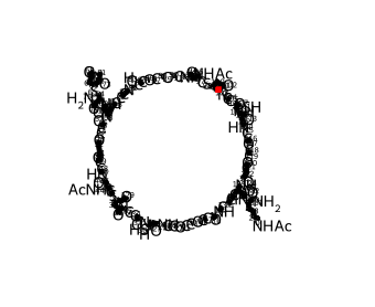 CC(=O)NCCCCC(NC(=O)C1CCCCNC(=O)CCOCCOCCNC(=O)C(CS)NC(=O)CCN2C(=O)CC(SCC(NC(C)=O)C(=O)NCCOCCOCCC(=O)NC(C(=O)NC(CSC3CC(=O)N(C)C3=O)C(N)=O)CCCCNC(=O)CCOCCOCCNC(=O)C(NC(C)=O)CSC3CC(=O)N(CCC(=O)NC(CS)C(=O)NCCOCCOCCC(=O)N1)C3=O)C2=O)C(N)=O